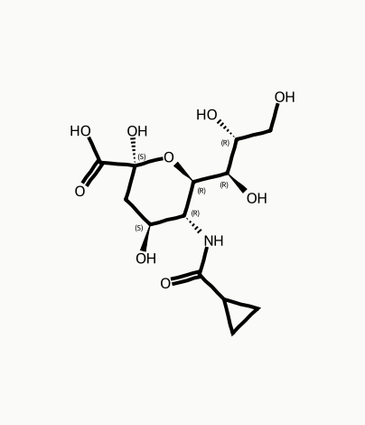 O=C(N[C@H]1[C@H]([C@H](O)[C@H](O)CO)O[C@](O)(C(=O)O)C[C@@H]1O)C1CC1